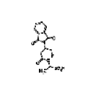 CC(OC(=O)CC(CF)N1C(=O)c2ccccc2C1=O)S(=O)(=O)O